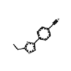 [CH2]Cc1ncc(-c2ccc(C#N)cc2)s1